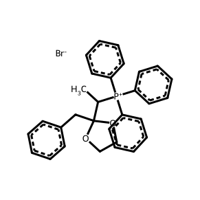 CC(C1(Cc2ccccc2)OCCO1)[P+](c1ccccc1)(c1ccccc1)c1ccccc1.[Br-]